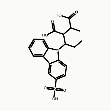 CCC(C(C(=O)O)C(C)C(=O)O)n1c2ccccc2c2cc(S(=O)(=O)O)ccc21